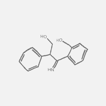 N=C(c1ccccc1O)C(CO)c1ccccc1